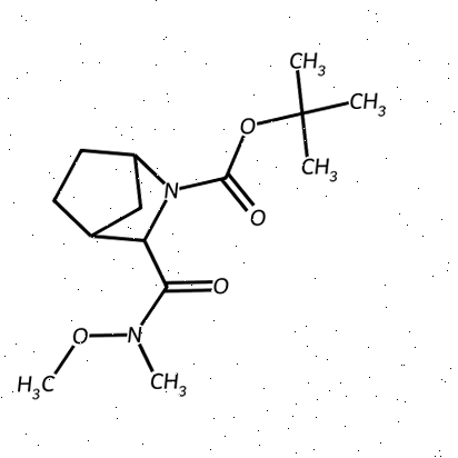 CON(C)C(=O)C1C2CCC(C2)N1C(=O)OC(C)(C)C